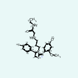 CCNC(=O)CNCCCn1c(-c2ccc(F)cc2)cs/c1=N/c1ccc(Cl)cc1OC